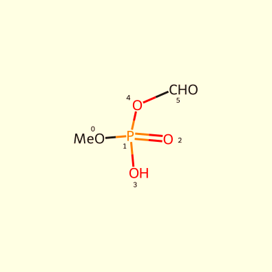 COP(=O)(O)OC=O